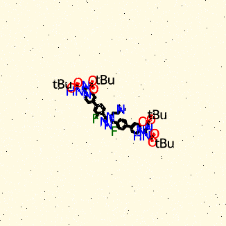 CN(C)CCn1c(-c2ccc(C3=CCN(/C(=N\C(=O)OC(C)(C)C)NC(=O)OC(C)(C)C)CC3)cc2F)nnc1-c1ccc(C2=CCN(/C(=N\C(=O)OC(C)(C)C)NC(=O)OC(C)(C)C)CC2)cc1F